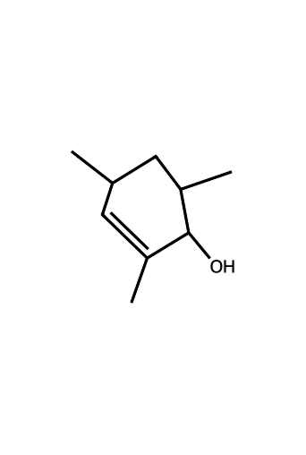 CC1=CC(C)CC(C)C1O